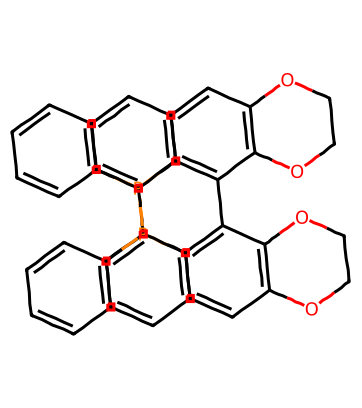 c1ccc(P(c2ccccc2)c2ccc3c(c2-c2c(P(c4ccccc4)c4ccccc4)ccc4c2OCCO4)OCCO3)cc1